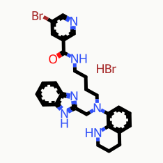 Br.O=C(NCCCCN(Cc1nc2ccccc2[nH]1)c1cccc2c1NCCC2)c1cncc(Br)c1